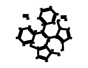 CC1=[C]([Ti]([C]2=C(C)C=CC2C)=[C](c2ccccc2)c2ccccc2)C(C)C=C1.Cl.Cl